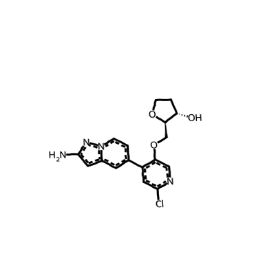 Nc1cc2cc(-c3cc(Cl)ncc3OC[C@H]3OCC[C@@H]3O)ccn2n1